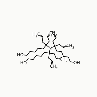 C=CCC(CC=C)(CCCCCO)N(C(CC=C)(CC=C)CCCCCO)C(CC=C)(CC=C)CCCCCO